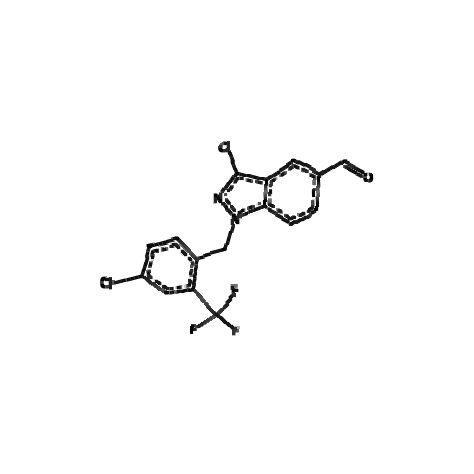 O=Cc1ccc2c(c1)c(Cl)nn2Cc1ccc(Cl)cc1C(F)(F)F